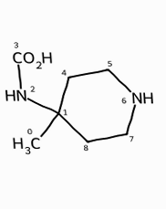 CC1(NC(=O)O)CCNCC1